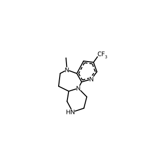 CN1CCC2CNCCN2c2ncc(C(F)(F)F)cc21